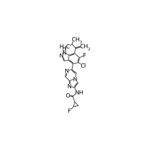 C=C(c1c(F)c(Cl)c(-c2cn3cc(NC(=O)C4CC4F)nc3cn2)c2cn[nH]c12)C(C)C